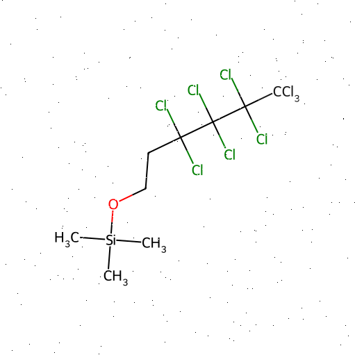 C[Si](C)(C)OCCC(Cl)(Cl)C(Cl)(Cl)C(Cl)(Cl)C(Cl)(Cl)Cl